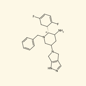 NC1CC(N2Cc3cn[nH]c3C2)CN(Cc2ccccc2)[C@@H]1C1CC(F)=CC=C1F